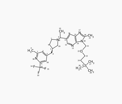 Cc1cc(C[C@H]2CCN(C(C)c3cnc4c(c3)nc(C)n4COCCS(C)(C)C)C2)cc(C(F)(F)F)n1